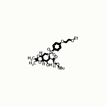 CCCCONC(=O)[C@H]1[C@@H](O)[C@@H]2OC(C)(C)O[C@H]2CN1S(=O)(=O)c1ccc(OCCOCC)cc1